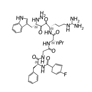 CCC[C@H](NC(=O)CNC(=O)[C@H](Cc1ccccc1)NC(=O)C1C=CC(F)=CC1)C(=O)N[C@@H](CCCNC(N)N)C(=O)C(=O)[C@H](Cc1c[nH]c2ccccc12)NN